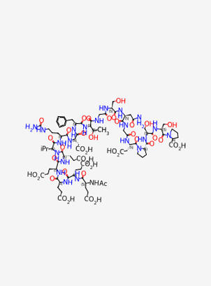 CC(=O)N[C@@H](CCC(=O)O)C(=O)N[C@@H](CCC(=O)O)C(=O)N[C@@H](CCC(=O)O)C(=O)N[C@@H](CCC(=O)O)C(=O)N[C@@H](CCC(=O)O)C(=O)N[C@H](C(=O)N[C@@H](CCCNC(N)=O)C(=O)N[C@@H](CC(=O)O)C(=O)N[C@@H](Cc1ccccc1)C(=O)N[C@H](C(=O)NCC(=O)N[C@@H](CO)C(=O)N[C@@H](CC(N)=O)C(=O)NCC(=O)N[C@@H](CC(=O)O)C(=O)N1CCC[C@H]1C(=O)N[C@@H](CO)C(=O)N[C@@H](CO)C(=O)N1CCC[C@H]1C(=O)O)[C@@H](C)O)C(C)C